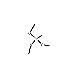 C[O][Sn]([CH3])([O]C)[O]C